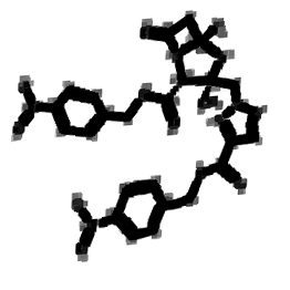 C[C@@]1(Cn2ncc(C(=O)OCc3ccc([N+](=O)[O-])cc3)n2)S[C@H]2CC(=O)N2[C@H]1C(=O)OCc1ccc([N+](=O)[O-])cc1